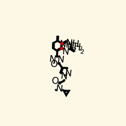 C=C(N)/N=C\C(=C/N)C(=C)/C=C\C(=C/N)c1noc(-c2cnn(CC(=O)N(C)C3CC3)c2)n1